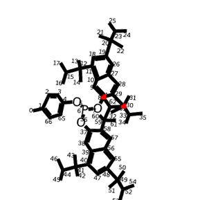 Cc1ccc(OP(Oc2cc3c(C(C)(C)C(C)C)cc(C(C)(C)C(C)C)cc3cc2C(C)(C)C(C)C)Oc2cc3c(C(C)(C)C(C)C)cc(C(C)(C)C(C)C)cc3cc2C(C)(C)C(C)C)cc1